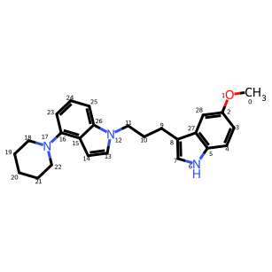 COc1ccc2[nH]cc(CCCn3ccc4c(N5CCCCC5)cccc43)c2c1